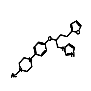 CC(=O)N1CCN(c2ccc(OC(CCc3ccco3)Cn3ccnc3)cc2)CC1